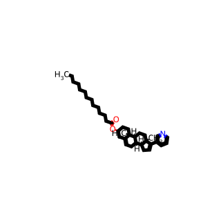 CCCCCCCCCCCCCC(=O)O[C@H]1CC[C@@]2(C)C(=CC[C@@H]3[C@@H]2CC[C@]2(C)C(c4cccnc4)=CC[C@@H]32)C1